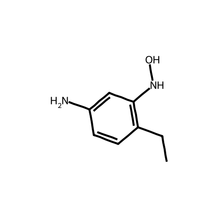 CCc1ccc(N)cc1NO